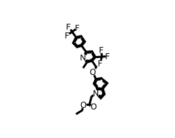 CCOC(=O)Cn1ccc2ccc(OCc3c(C(F)(F)F)cc(-c4ccc(C(F)(F)F)cc4)nc3C)cc21